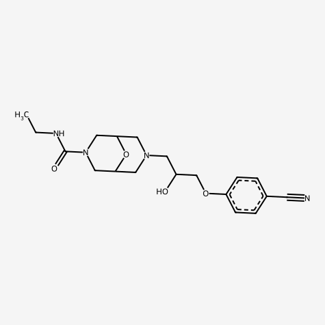 CCNC(=O)N1CC2CN(CC(O)COc3ccc(C#N)cc3)CC(C1)O2